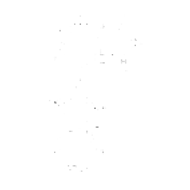 [c]1ccc2sc(-c3cccc4scnc34)nc2c1